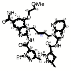 CCn1nc(C)cc1C(=O)Nc1nc2cccnc2n1C/C=C/Cn1c(NC(=O)c2cc(C)nn2CC)nc2cc(C(N)=O)cc(OCCOC)c21